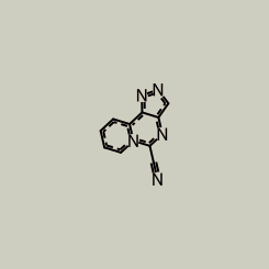 N#Cc1nc2cnnc-2c2ccccn12